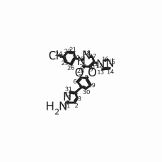 Nc1ccc(-c2ccc(Oc3c(-n4ccnc4)cnn(-c4ccc(Cl)cc4)c3=O)cc2)cn1